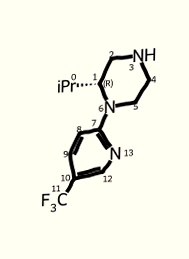 CC(C)[C@@H]1CNCCN1c1ccc(C(F)(F)F)cn1